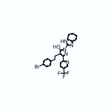 Oc1c(CCc2ccc(Br)cc2)c(-c2ccc(C(F)(F)F)cn2)nn1-c1nc2ccccc2[nH]1